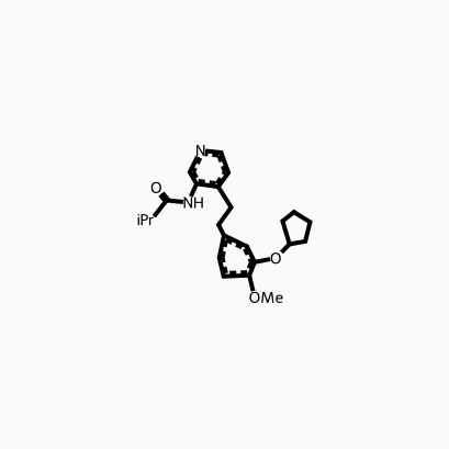 COc1ccc(CCc2ccncc2NC(=O)C(C)C)cc1OC1CCCC1